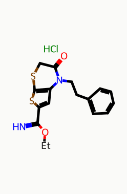 CCOC(=N)c1cc2c(s1)SCC(=O)N2CCc1ccccc1.Cl